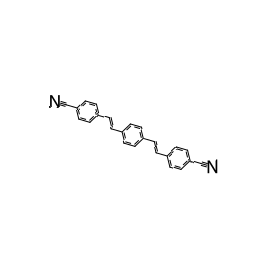 N#Cc1ccc(C=Cc2ccc(C=Cc3ccc(C#N)cc3)cc2)cc1